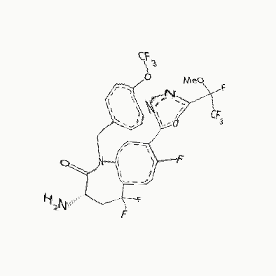 COC(F)(c1nnc(-c2cc3c(cc2F)C(F)(F)C[C@H](N)C(=O)N3Cc2ccc(OC(F)(F)F)cc2)o1)C(F)(F)F